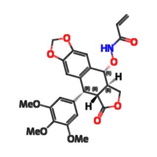 C=CC(=O)NO[C@H]1c2cc3c(cc2[C@@H](c2cc(OC)c(OC)c(OC)c2)[C@H]2C(=O)OC[C@@H]21)OCO3